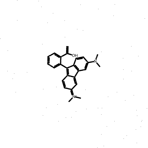 C=C(O)c1ccccc1C1=C2C=CC(=[N+](C)C)C=C2c2cc(N(C)C)ccc21